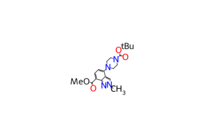 COC(=O)c1ccc(N2CCN(C(=O)OC(C)(C)C)CC2)c2cn(C)nc12